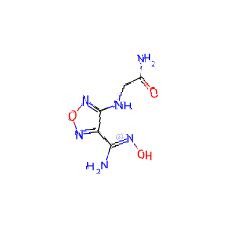 NC(=O)CNc1nonc1/C(N)=N/O